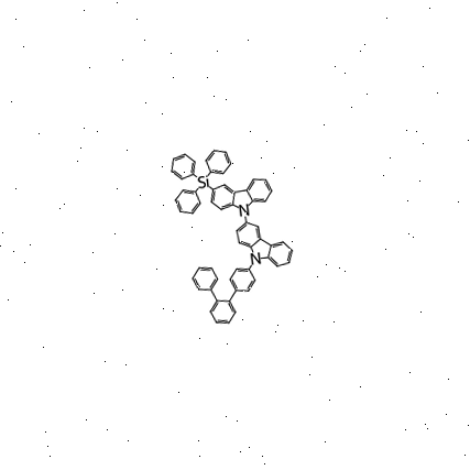 c1ccc(-c2ccccc2-c2ccc(-n3c4ccccc4c4cc(-n5c6ccccc6c6cc([Si](c7ccccc7)(c7ccccc7)c7ccccc7)ccc65)ccc43)cc2)cc1